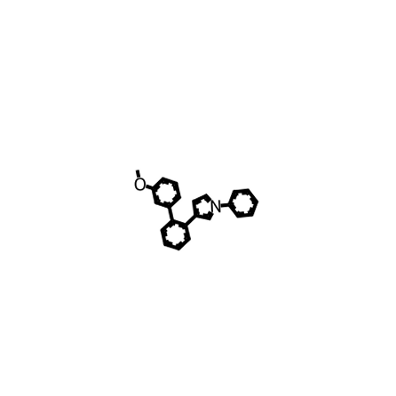 COc1cccc(-c2ccccc2-c2ccn(-c3ccccc3)c2)c1